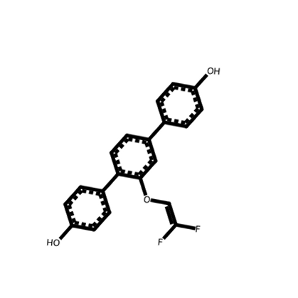 Oc1ccc(-c2ccc(-c3ccc(O)cc3)c(OC=C(F)F)c2)cc1